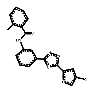 O=C(Nc1cccc(-c2nnc(-c3cc(Cl)co3)o2)c1)c1ccccc1F